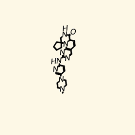 CN1CCN(c2ccc(Nc3ncc4c(n3)N3C(C=C4)C(=O)NCC34CCCC4)nc2)CC1